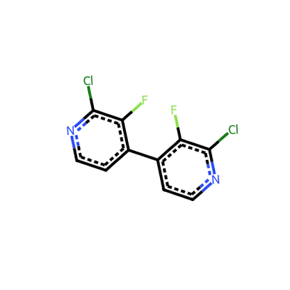 Fc1c(-c2ccnc(Cl)c2F)ccnc1Cl